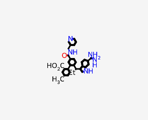 CCC(c1ccc(C(=O)NCc2cccnc2)cc1-c1ccc(C)cc1C(=O)O)c1c[nH]c2cc(C(=N)N)ccc12